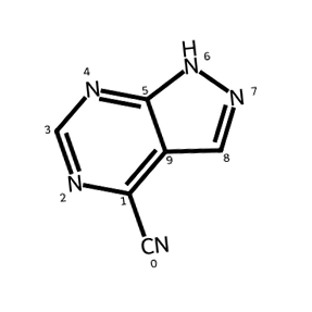 N#Cc1ncnc2[nH]ncc12